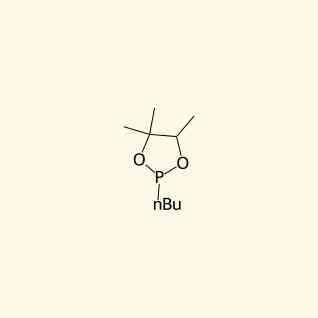 CCCCP1OC(C)C(C)(C)O1